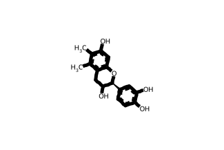 Cc1c(O)cc2c(c1C)CC(O)[C@H](c1ccc(O)c(O)c1)O2